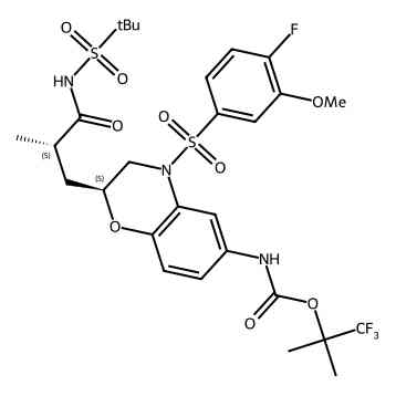 COc1cc(S(=O)(=O)N2C[C@H](C[C@H](C)C(=O)NS(=O)(=O)C(C)(C)C)Oc3ccc(NC(=O)OC(C)(C)C(F)(F)F)cc32)ccc1F